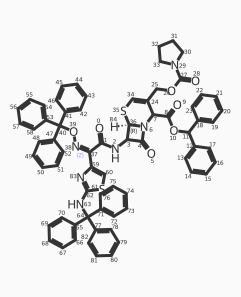 O=C(NC1C(=O)N2C(C(=O)OC(c3ccccc3)c3ccccc3)C(COC(=O)N3CCCC3)=CS[C@H]12)/C(=N\OC(c1ccccc1)(c1ccccc1)c1ccccc1)c1csc(NC(c2ccccc2)(c2ccccc2)c2ccccc2)n1